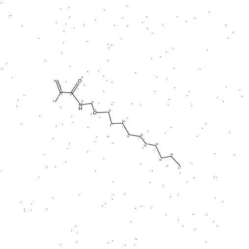 C=C(C)C(=O)NCOCCCCCCCCCC